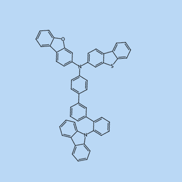 c1cc(-c2ccc(N(c3ccc4c(c3)oc3ccccc34)c3ccc4c(c3)sc3ccccc34)cc2)cc(-c2ccccc2-n2c3ccccc3c3ccccc32)c1